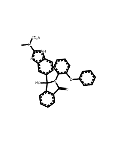 CN(C(=O)O)c1nc2cc(C3(O)c4ccccc4C(=O)N3c3ccccc3Oc3ccccc3)ccc2[nH]1